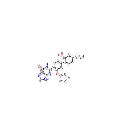 O=C(O)c1ccc(-c2ccc(-c3nc4[nH]cnc4c(=O)[nH]3)c(OC3CCCC3)c2)c(O)c1